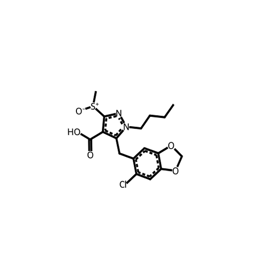 CCCCn1nc([S+](C)[O-])c(C(=O)O)c1Cc1cc2c(cc1Cl)OCO2